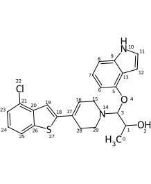 CC(O)C(Oc1cccc2[nH]ccc12)N1CC=C(c2cc3c(Cl)cccc3s2)CC1